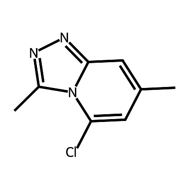 Cc1cc(Cl)n2c(C)nnc2c1